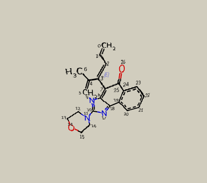 C=C/C=C(\C(=C)C)C1=C2N=C(N3CCOCC3)N=C2c2ccccc2C1=O